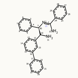 N/C(=N\[C@H](c1ccccc1)C(N)c1cccc(-c2ccccc2)c1)c1ccccc1